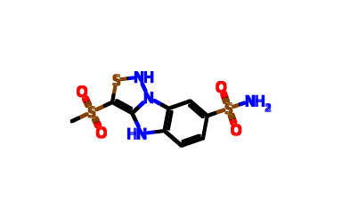 CS(=O)(=O)C1=C2Nc3ccc(S(N)(=O)=O)cc3N2NS1